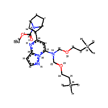 CC(C)(C)OC(=O)N1C2CCC1C(c1cc(N(COCC[Si](C)(C)C)COCC[Si](C)(C)C)n3nccc3n1)C2